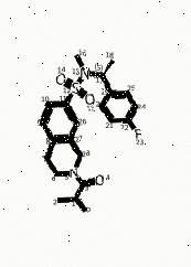 CC(C)C(=O)N1CCc2ccc(S(=O)(=O)N(C)[C@@H](C)c3ccc(F)cc3)cc2C1